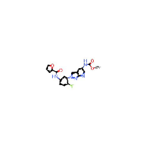 CC(C)OC(=O)Nc1cnc2nn(-c3cc(NC(=O)c4ccco4)ccc3F)cc2c1